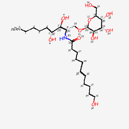 CCCCCCCCCCCCCC[C@@H](O)[C@@H](O)[C@H](CO[C@H]1OC(CO)[C@H](O)[C@H](O)[C@H]1O)NC(=O)CCCCCCCCCCO